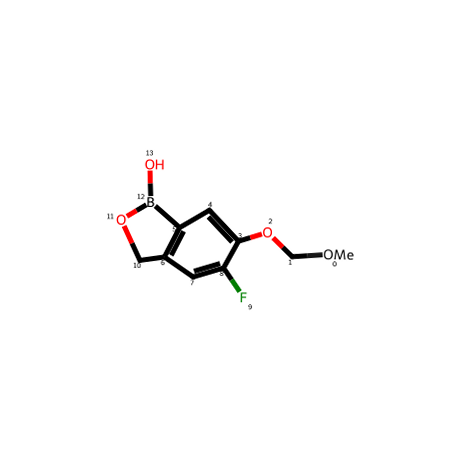 COCOc1cc2c(cc1F)COB2O